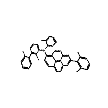 Cc1ccccc1-c1cccc(N(c2ccccc2C)c2ccc3ccc4cc(-c5c(C)cccc5C)cc5ccc2c3c45)c1C